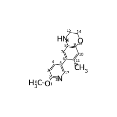 COc1ccc(-c2cc3c(cc2C)OCCN3)cn1